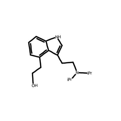 CC(C)N(CCc1c[nH]c2cccc(CCO)c12)C(C)C